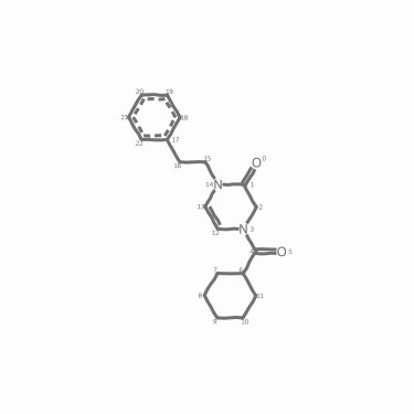 O=C1CN(C(=O)C2CCCCC2)C=CN1CCc1ccccc1